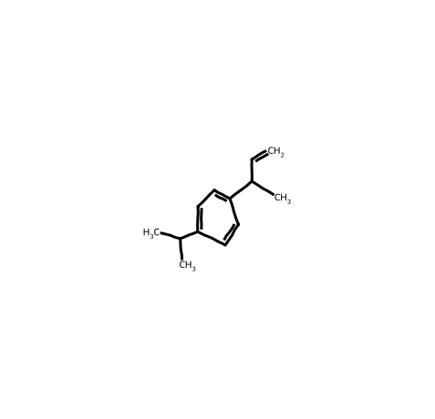 C=CC(C)c1ccc(C(C)C)cc1